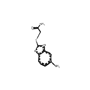 NC(=O)CSc1nc2ccc(N)cc2o1